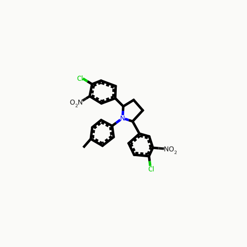 Cc1ccc(N2C(c3ccc(Cl)c([N+](=O)[O-])c3)CCC2c2ccc(Cl)c([N+](=O)[O-])c2)cc1